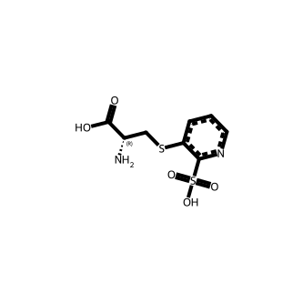 N[C@@H](CSc1cccnc1S(=O)(=O)O)C(=O)O